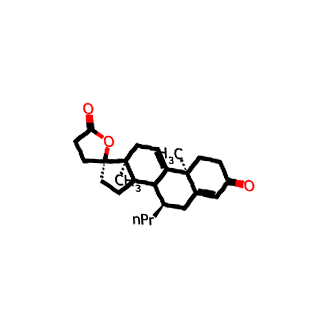 CCC[C@@H]1CC2=CC(=O)CC[C@]2(C)C2=CC[C@@]3(C)C(CC[C@@]34CCC(=O)O4)C21